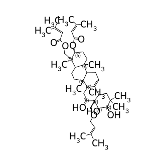 CC(C)=CCOC[C@@]12C(CC(C)(C)[C@@H](O)[C@@H]1O)C1=CCC3[C@@]4(C)CC[C@H](OC(=O)C=C(C)C)[C@](C)(COC(=O)C=C(C)C)C4CC[C@@]3(C)[C@]1(C)C[C@H]2O